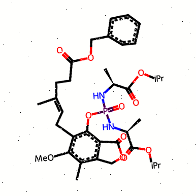 COc1c(C)c2c(c(OP(=O)(N[C@@H](C)C(=O)OC(C)C)N[C@@H](C)C(=O)OC(C)C)c1C/C=C(\C)CCC(=O)OCc1ccccc1)C(=O)OC2